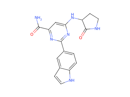 NC(=O)c1cc(NC2CCNC2=O)nc(-c2ccc3[nH]ccc3c2)n1